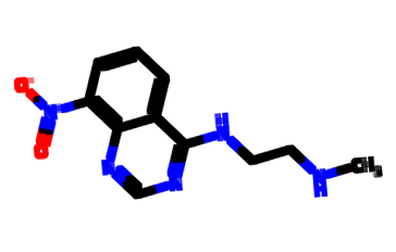 CNCCNc1ncnc2c([N+](=O)[O-])cccc12